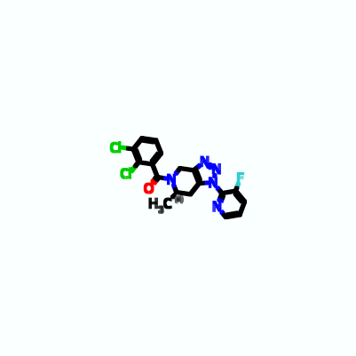 C[C@@H]1Cc2c(nnn2-c2ncccc2F)CN1C(=O)c1cccc(Cl)c1Cl